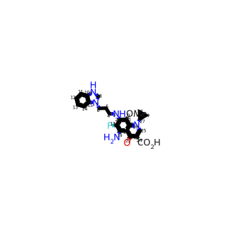 COc1c(NCCCN2CNc3ccccc32)c(F)c(N)c2c(=O)c(C(=O)O)cn(C3CC3)c12